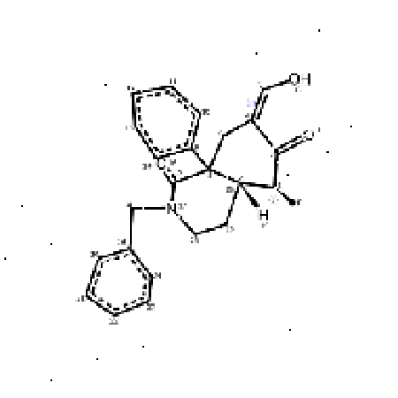 C[C@@H]1C(=O)/C(=C\O)CC2(c3ccccc3)C(=O)N(Cc3ccccc3)CC[C@@H]12